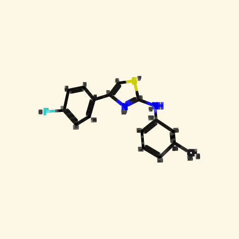 Fc1[c]cc(-c2csc(Nc3cccc(C(F)(F)F)c3)n2)cc1